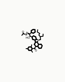 CCCCC(CC)Cn1c2ccc(C(O)/C(=N\OC(C)=O)c3ccccc3)cc2c2cc(C(=O)c3c(C)cc(C)cc3C)c3ccccc3c21